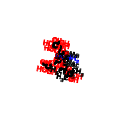 CO[C@H]1OC(CO)[C@H](O[C@H]2OC(CO)[C@@H](O)[C@H](O)C2O)[C@H](O[C@@H]2OC(CO[C@H]3OC(CO)[C@@H](O)[C@H](O)C3O)[C@@H](O)[C@H](O[C@@H]3OC(C)[C@H](C)[C@H](O[C@@H]4OC(C)[C@H](O)[C@H](O)C4C)C3OC(C)=O)C2O)C1NC(C)C(N)=O